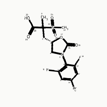 CC(C[C@H]1CN(c2c(F)cc(Br)cc2F)C(=O)O1)(C(=O)O)S(C)(=O)=O